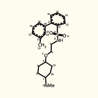 CNC1CCC(OCCNS(=O)(=O)c2ccccc2-c2cccc(C)c2)CC1